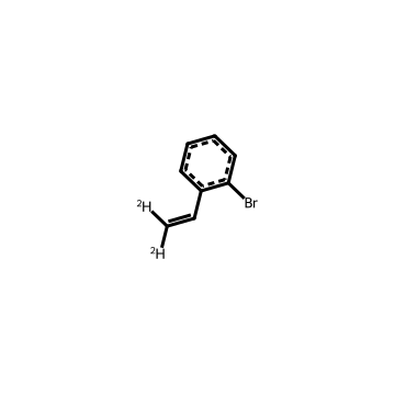 [2H]C([2H])=Cc1ccccc1Br